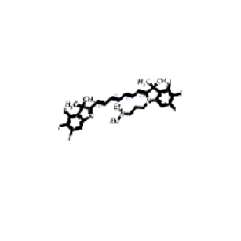 CCC(C)N(CC)CCCN1\C(=C/C=C/C=C/C=C/C2=Nc3cc(I)c(I)c(I)c3C2(C)C)C(C)(C)c2c1cc(I)c(I)c2I